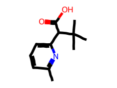 Cc1cccc(C(C(=O)O)C(C)(C)C)n1